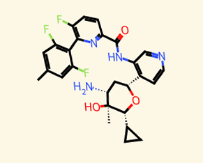 Cc1cc(F)c(-c2nc(C(=O)Nc3cnccc3[C@H]3C[C@@H](N)[C@](C)(O)[C@@H](C4CC4)O3)ccc2F)c(F)c1